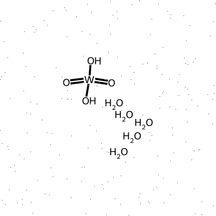 O.O.O.O.O.[O]=[W](=[O])([OH])[OH]